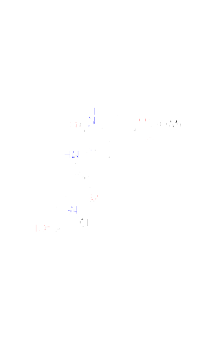 COC(=O)Oc1ccc2c(c1)NC(=O)/C2=C(\Nc1cccc(C(=O)N(C)CCO)c1)c1ccccc1